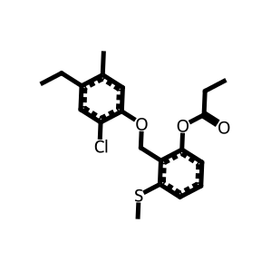 CCC(=O)Oc1cccc(SC)c1COc1cc(C)c(CC)cc1Cl